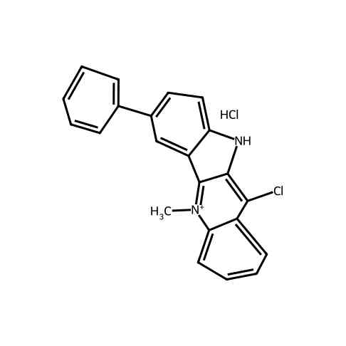 C[n+]1c2ccccc2c(Cl)c2[nH]c3ccc(-c4ccccc4)cc3c21.Cl